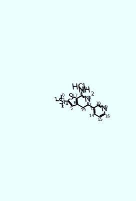 C[Si](C)(C)c1cc2c(s1)C(N)=NC(c1cccnc1)C2.Cl